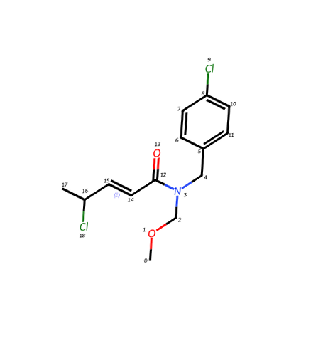 COCN(Cc1ccc(Cl)cc1)C(=O)/C=C/C(C)Cl